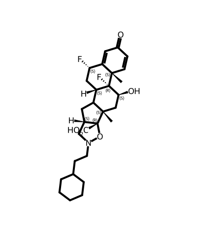 C[C@]12C=CC(=O)C=C1[C@@H](F)C[C@H]1C3C[C@H]4CN(CCC5CCCCC5)O[C@@]4(C(=O)O)[C@@]3(C)C[C@H](O)[C@@]12F